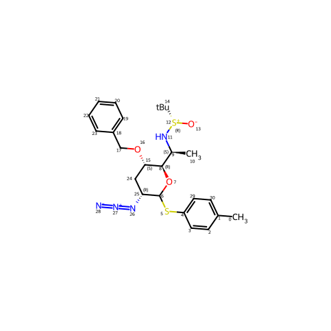 Cc1ccc(SC2O[C@H]([C@H](C)N[S@@+]([O-])C(C)(C)C)[C@@H](OCc3ccccc3)C[C@H]2N=[N+]=[N-])cc1